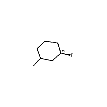 CC1CCC[C@@H](F)C1